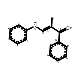 C/C(=C\Nc1ccccc1)C(=O)c1ccccc1